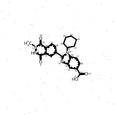 Cn1[nH]c(=O)c2cc(-c3nc4cc(C(=O)O)ccc4n3C3CCCCC3)ccc2c1=O